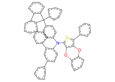 c1ccc(-c2ccc(N(c3ccc(C4(c5ccccc5)c5ccccc5-c5ccccc54)cc3)c3sc(-c4ccccc4)c4c3Oc3ccccc3O4)c(-c3ccccc3)c2)cc1